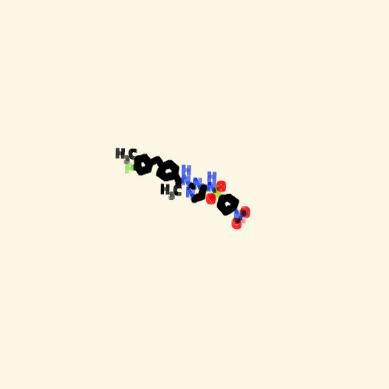 Cc1cc(Cc2ccc(C(C)Nc3nccc(NS(=O)(=O)c4ccc([N+](=O)[O-])cc4)n3)cc2)ccc1F